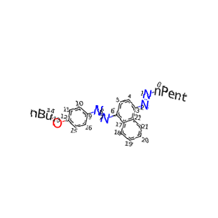 CCCCC/N=N/c1ccc(/N=N/c2ccc(OCCCC)cc2)c2ccccc12